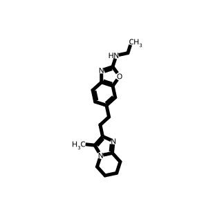 CCNc1nc2ccc(CCc3nc4n(c3C)CCCC4)cc2o1